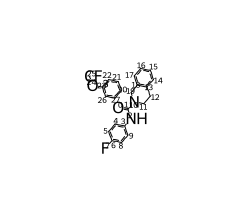 O=C(Nc1ccc(F)cc1)N1CCc2ccccc2[C@H]1c1ccc(OC(F)(F)F)cc1